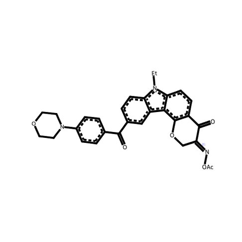 CCn1c2ccc(C(=O)c3ccc(N4CCOCC4)cc3)cc2c2c3c(ccc21)C(=O)/C(=N/OC(C)=O)CO3